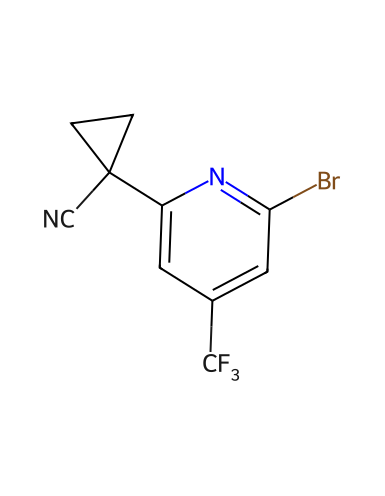 N#CC1(c2cc(C(F)(F)F)cc(Br)n2)CC1